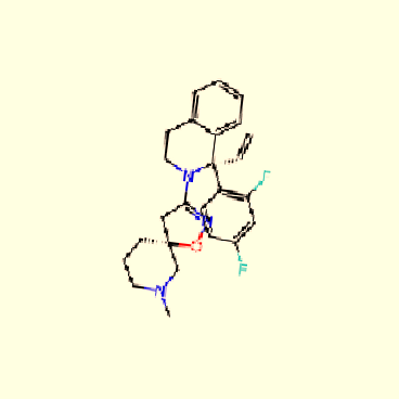 C=C[C@@]1(c2ccc(F)cc2F)c2ccccc2CCN1C1=NO[C@]2(CCCN(C)C2)C1